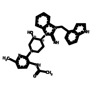 CC(=O)Nc1ccc(C)nc1N1CC[C@H](n2c(=N)n(Cc3cccc4[nH]ccc34)c3ccccc32)[C@@H](O)C1